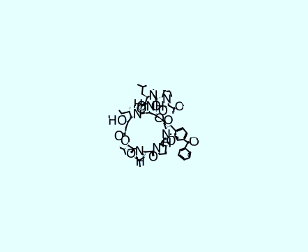 CC[C@H](C)[C@@H]1NC(=O)[C@H](NC(=O)[C@@H](CC(C)C)N(C)C(=O)[C@@H]2CCCN2C(=O)C(C)=O)[C@H](C)OC(=O)[C@H](Cc2ccc(C(=O)c3ccccc3)cc2)N(C)C(=O)[C@@H]2CCCN2C(=O)[C@H](CC(C)C)NC(=O)[C@H](C(C)C)OC(=O)C[C@@H]1O